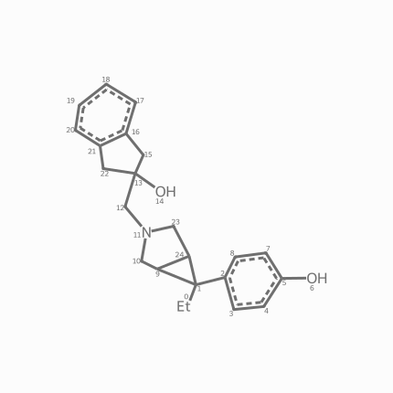 CCC1(c2ccc(O)cc2)C2CN(CC3(O)Cc4ccccc4C3)CC21